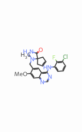 COc1cc2ncnc(Nc3cccc(Cl)c3F)c2cc1CN(C)C1(C(N)=O)CC=CC1